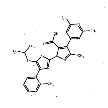 Cc1cc(-c2c(C)nn(-c3nc(-c4ccccc4C)c(SC(C)C)s3)c2C(=O)O)cc(C)n1